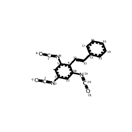 O=C=Nc1cc(N=C=O)c(C=Cc2ccccc2)c(N=C=O)c1